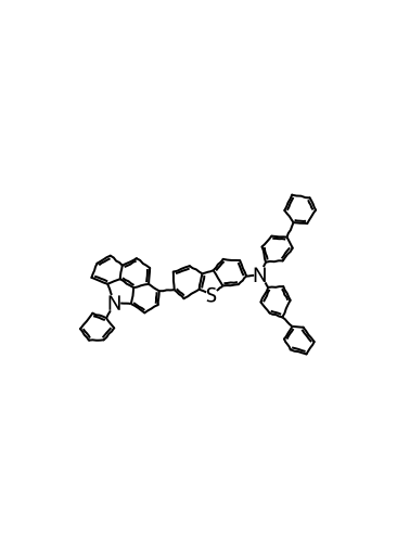 c1ccc(-c2ccc(N(c3ccc(-c4ccccc4)cc3)c3ccc4c(c3)sc3cc(-c5ccc6c7c5ccc5cccc(c57)n6-c5ccccc5)ccc34)cc2)cc1